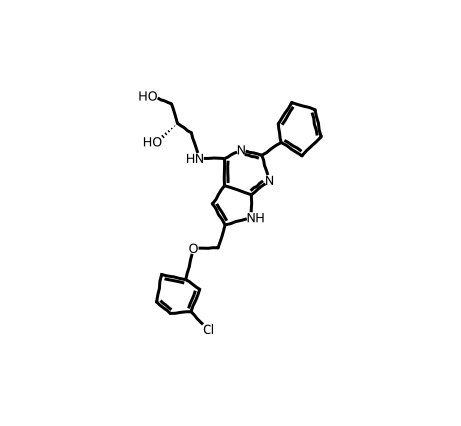 OC[C@@H](O)CNc1nc(-c2ccccc2)nc2[nH]c(COc3cccc(Cl)c3)cc12